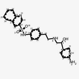 Nc1ccc(C(O)CNCCc2ccc(NS(=O)(=O)c3cnc4ccccc4c3)cc2)cn1